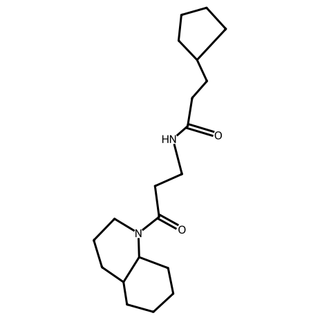 O=C(CCC1CCCC1)NCCC(=O)N1CCCC2CCCCC21